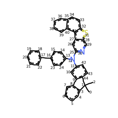 CC1(C)c2ccccc2-c2cc(N(c3ccc(-c4ccccc4)cc3)c3cc4c(cn3)sc3ccc5ccccc5c34)ccc21